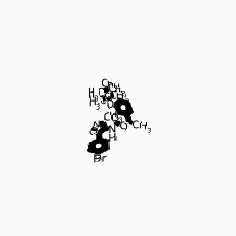 Cc1noc(-c2ccc(Br)cc2)c1NC(=O)OC(C)c1cccc(O[Si](C)(C)C(C)(C)C)c1